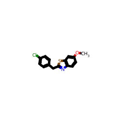 COc1ccc2nc(Cc3ccc(Cl)cc3)sc2c1